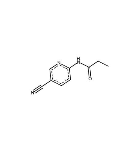 CCC(=O)Nc1ccc(C#N)cn1